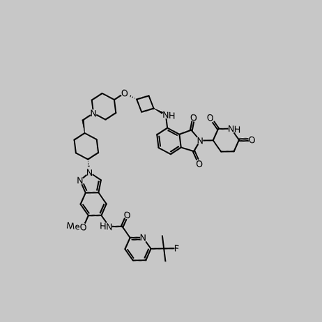 COc1cc2nn([C@H]3CC[C@H](CN4CCC(O[C@H]5C[C@H](Nc6cccc7c6C(=O)N(C6CCC(=O)NC6=O)C7=O)C5)CC4)CC3)cc2cc1NC(=O)c1cccc(C(C)(C)F)n1